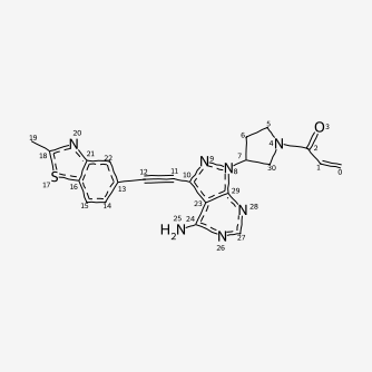 C=CC(=O)N1CCC(n2nc(C#Cc3ccc4sc(C)nc4c3)c3c(N)ncnc32)C1